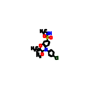 CNS(=O)(=O)c1ccc2c(c1)OC(C)(C)C(=O)N2c1ccc(Cl)cc1